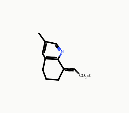 CCOC(=O)/C=C1\CCCc2cc(C)cnc21